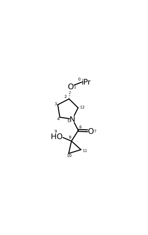 CC(C)O[C@H]1CCN(C(=O)C2(O)CC2)C1